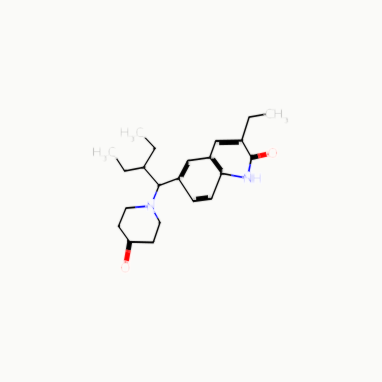 CCc1cc2cc(C(C(CC)CC)N3CCC(=O)CC3)ccc2[nH]c1=O